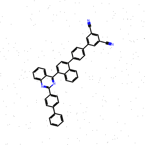 N#Cc1cc(C#N)cc(-c2ccc(-c3ccc(-c4nc(-c5ccc(-c6ccccc6)cc5)nc5ccccc45)c4ccccc34)cc2)c1